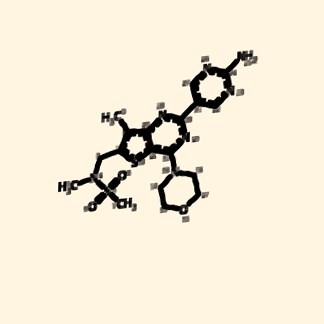 Cc1c(CN(C)S(C)(=O)=O)sc2c(N3CCOCC3)nc(-c3cnc(N)nc3)nc12